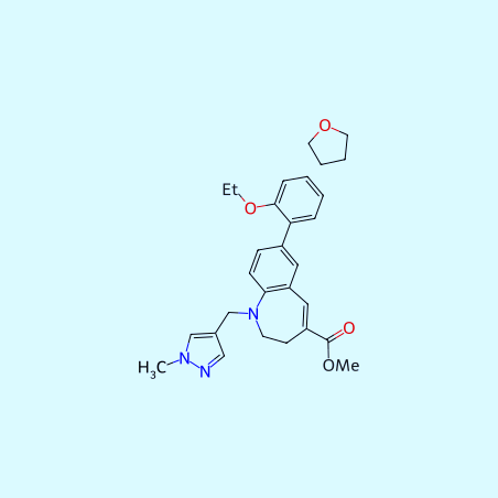 C1CCOC1.CCOc1ccccc1-c1ccc2c(c1)C=C(C(=O)OC)CCN2Cc1cnn(C)c1